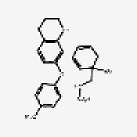 CCCCC1(CNC(=O)O)C=CC=CC1.COc1ccc(Oc2ccc3c(c2)NCCC3)cc1